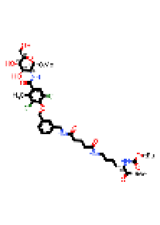 COC(=O)[C@H](CCCCNC(=O)CCCC(=O)NCc1cccc(COc2c(Cl)cc(C(=O)N[C@H]3[C@@H](OC)O[C@H](CO)[C@@H](O)[C@@H]3O)c(C)c2Cl)c1)NC(=O)OC(C)(C)C